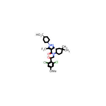 COc1cc(Cl)c(C(=O)CN(C(=O)c2cnn([C@H]3CC[C@H](C(=O)O)CC3)c2C(F)(F)F)C2CCC(C)(C)CC2)c(Cl)c1